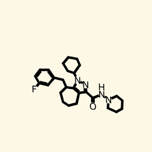 O=C(NN1CCCCC1)c1nn(C2CCCCC2)c2c1CCCCC2Cc1cccc(F)c1